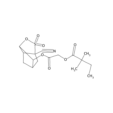 CCC(C)(C)C(=O)OCC(=O)OC1C2CC3C1OS(=O)(=O)C3(C#N)C2